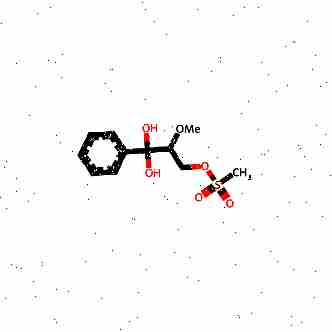 COC(COS(C)(=O)=O)C(O)(O)c1ccccc1